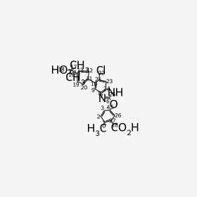 Cc1ccc(Oc2nc3cc(-c4ccc(C(C)(C)O)cc4)c(Cl)cc3[nH]2)cc1C(=O)O